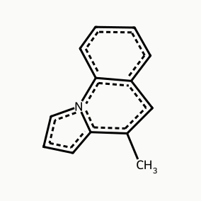 Cc1cc2ccccc2n2cccc12